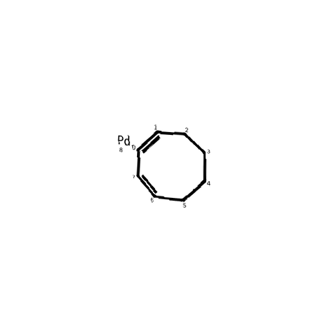 C1=CCCCCC=C1.[Pd]